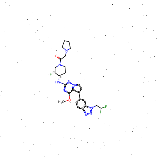 COc1nc(N[C@H]2CCN(C(=O)CN3CCCC3)C[C@H]2F)nn2ccc(-c3ccc4nnn(CC(F)F)c4c3)c12